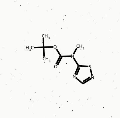 CN(C(=O)OC(C)(C)C)c1ncns1